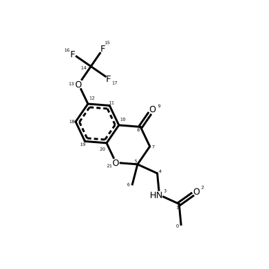 CC(=O)NCC1(C)CC(=O)c2cc(OC(F)(F)F)ccc2O1